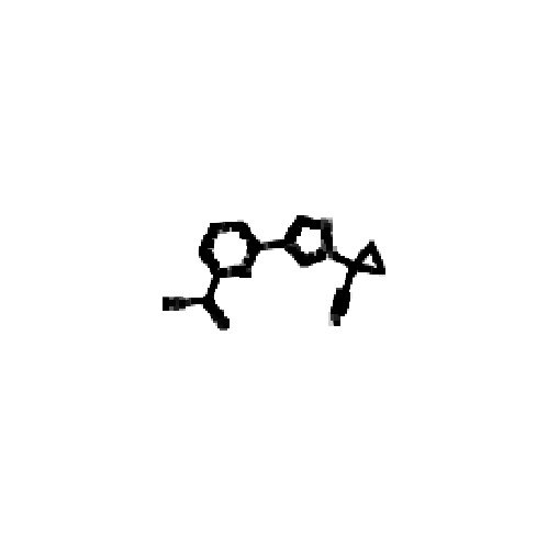 N#CC1(n2cc(-c3cccc(C(=O)O)n3)cn2)CC1